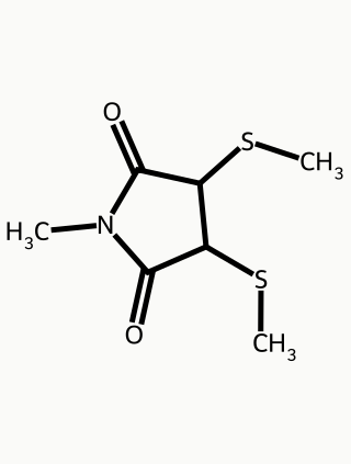 CSC1C(=O)N(C)C(=O)C1SC